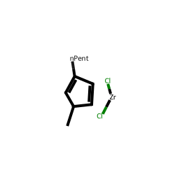 CCCCCC1=C[C](C)C=C1.[Cl][Zr][Cl]